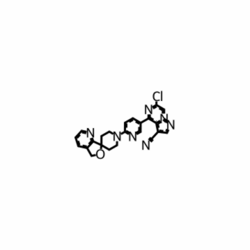 N#Cc1cnn2cc(Cl)nc(-c3ccc(N4CCC5(CC4)OCc4cccnc45)nc3)c12